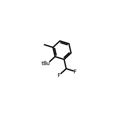 Cc1cccc(C(F)F)c1C(C)(C)C